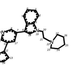 c1ccc2c(c1)c(-c1cncc(-c3ccsc3)c1)cn2CCN1CCCCC1